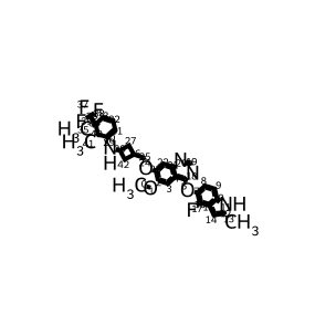 COc1cc2c(Oc3ccc4[nH]c(C)cc4c3F)ncnc2cc1OCC1CC(NC2=CC=CC(C)(C(F)(F)F)C2C)C1